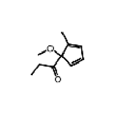 CCC(=O)C1(OC)C=CC=C1C